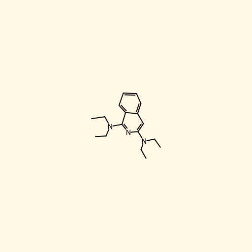 CCN(CC)c1cc2ccccc2c(N(CC)CC)n1